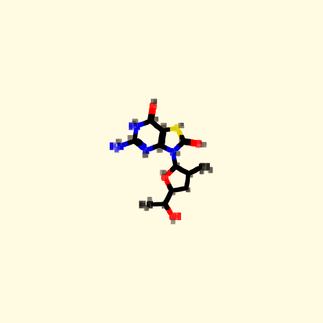 CC(O)C1CC(C)C(n2c(=O)sc3c(=O)[nH]c(N)nc32)O1